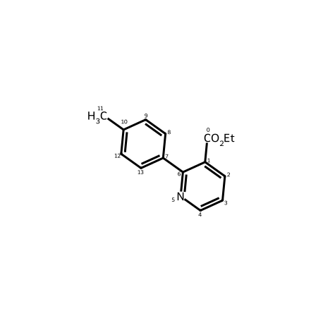 CCOC(=O)c1cccnc1-c1ccc(C)cc1